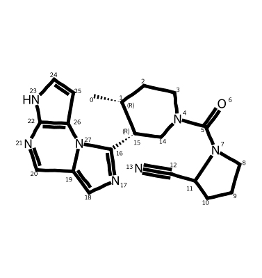 C[C@@H]1CCN(C(=O)N2CCCC2C#N)C[C@@H]1c1ncc2cnc3[nH]ccc3n12